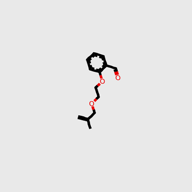 C=C(C)COCCOc1ccccc1C=O